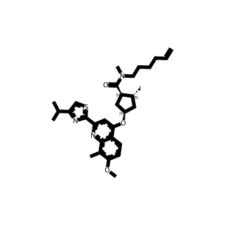 C=CCCCCN(C)C(=O)[C@@H]1C[C@H](Oc2cc(-c3nc(C(C)C)cs3)nc3c(C)c(OC)ccc23)C[C@H]1I